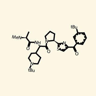 CN[C@@H](C)C(=O)N[C@H](C(=O)N1CCC[C@H]1c1nc(C(=O)c2cccc(C(C)(C)C)c2)cs1)C1CCN(C(C)(C)C)CC1